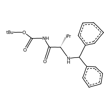 CC(C)[C@H](NC(c1ccccc1)c1ccccc1)C(=O)NC(=O)OC(C)(C)C